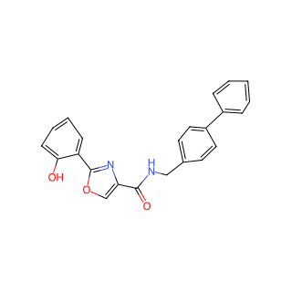 O=C(NCc1ccc(-c2ccccc2)cc1)c1coc(-c2ccccc2O)n1